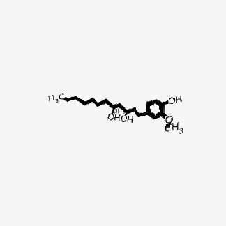 CCCCCCC[C@H](O)C[C@H](O)CCc1ccc(O)c(OC)c1